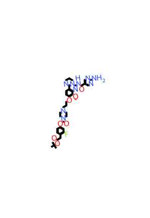 COc1c(OCCCN2CCN(C(=O)Oc3ccc(CC(=O)OC(C)(C)C)c(F)c3)CC2)ccc2c1N=C(NC(=O)c1cnc(N)nc1)N1CCCN=C21